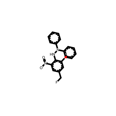 O=[N+]([O-])c1cc(CF)cc([N+](=O)[O-])c1NN(c1ccccc1)c1ccccc1